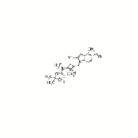 Cc1c(C=O)ccc2c1cc(C#N)n2CC12CC(N(C)C(=O)OC(C)(C)C)(C1)[C@H]2C